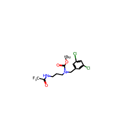 CC(C)(C)OC(=O)N(CCCNC(=O)C(F)(F)F)Cc1cc(Cl)cc(Cl)c1